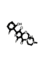 CN1CCN2C(=O)c3c(F)nc(-c4c(O)cccc4F)c(Cl)c3OC[C@H]2C1